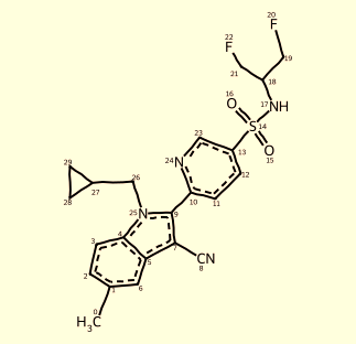 Cc1ccc2c(c1)c(C#N)c(-c1ccc(S(=O)(=O)NC(CF)CF)cn1)n2CC1CC1